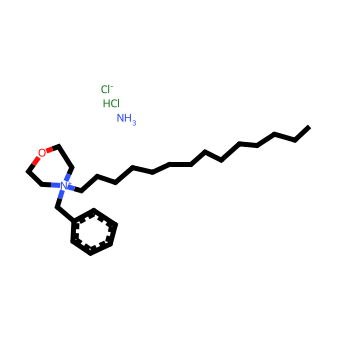 CCCCCCCCCCCCCC[N+]1(Cc2ccccc2)CCOCC1.Cl.N.[Cl-]